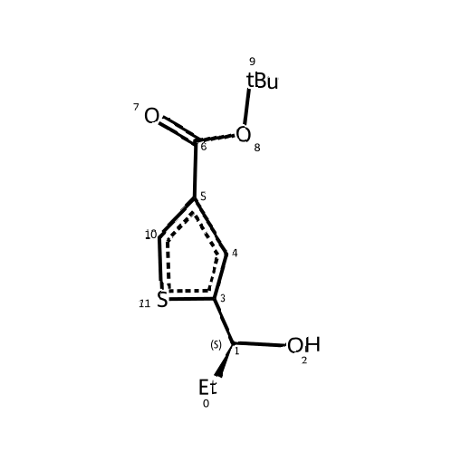 CC[C@H](O)c1cc(C(=O)OC(C)(C)C)cs1